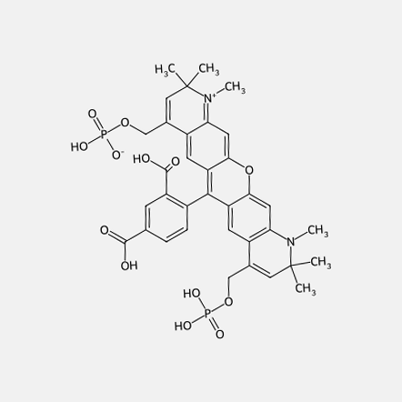 CN1c2cc3c(cc2C(COP(=O)(O)O)=CC1(C)C)C(c1ccc(C(=O)O)cc1C(=O)O)=c1cc2c(cc1O3)=[N+](C)C(C)(C)C=C2COP(=O)([O-])O